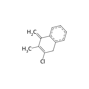 C=C1C(C)=C(Cl)Cc2ccccc21